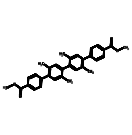 COC(=O)c1ccc(-c2cc(C)c(-c3cc(C)c(-c4ccc(C(=O)OC)cc4)cc3C)cc2C)cc1